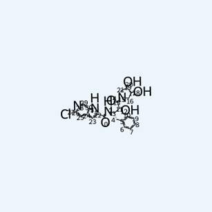 O=C(N[C@@H](Cc1ccccc1)[C@@H](O)C(=O)N1CC(O)C(O)C1)c1cc2cc(Cl)ncc2[nH]1